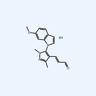 COc1ccc2ccn(-c3c(/C=C/C=O)c(C)nn3C)c2c1.[KH]